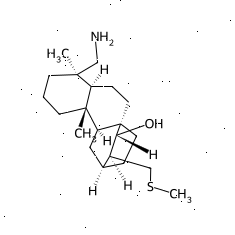 CSC[C@H]1[C@H]2CC[C@@]3(CC[C@@H]4[C@](C)(CN)CCC[C@@]4(C)[C@@H]3C2)[C@@H]1O